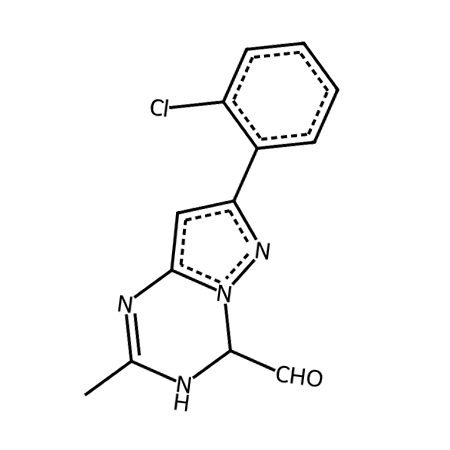 CC1=Nc2cc(-c3ccccc3Cl)nn2C(C=O)N1